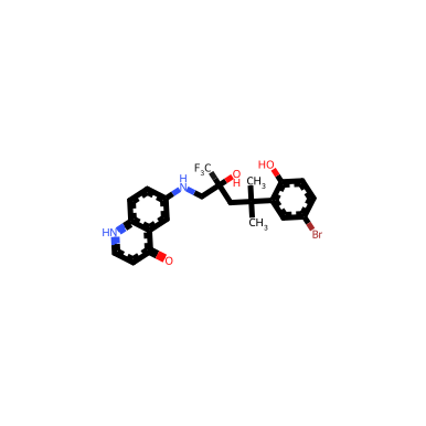 CC(C)(CC(O)(CNc1ccc2[nH]ccc(=O)c2c1)C(F)(F)F)c1cc(Br)ccc1O